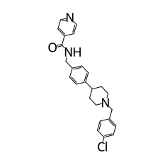 O=C(NCc1ccc(C2CCN(Cc3ccc(Cl)cc3)CC2)cc1)c1ccncc1